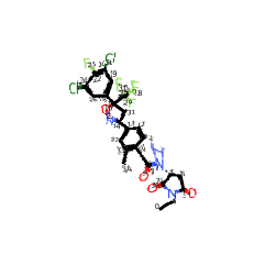 CCN1C(=O)C[C@@H](NC(=O)c2ccc(C3=NOC(c4cc(Cl)c(F)c(Cl)c4)(C(F)(F)F)C3)cc2C)C1=O